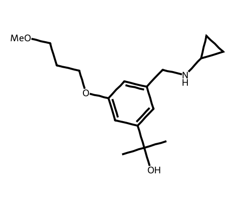 COCCCOc1cc(CNC2CC2)cc(C(C)(C)O)c1